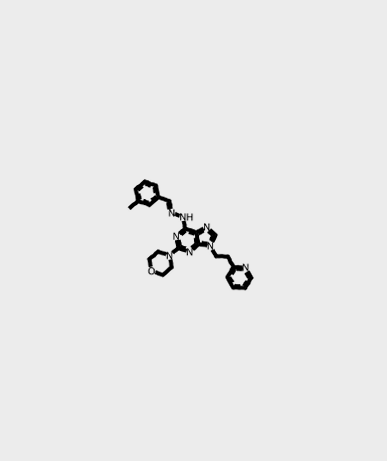 Cc1cccc(C=NNc2nc(N3CCOCC3)nc3c2ncn3CCc2ccccn2)c1